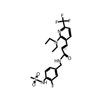 CCN(CC)c1nc(C(F)(F)F)ccc1/C=C/C(=O)NCc1ccc(NS(C)(=O)=O)c(F)c1